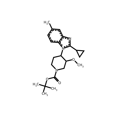 COC1CN(C(=O)OC(C)(C)C)CCC1n1c(C2CC2)nc2cc(C)ccc21